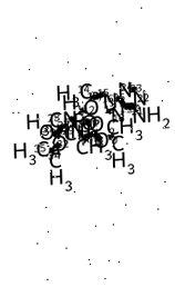 CC(C)OC(=O)[C@@H](C)NP(=O)(CO[C@H](C)Cn1cnc2c(N)ncnc21)NC(C)(C)C(=O)OC(C)C